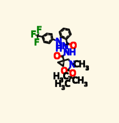 CN(CC1(C(=O)NNC(=O)c2ccccc2Nc2ccc(C(F)(F)F)cc2)CC1)C(=O)OC(C)(C)C